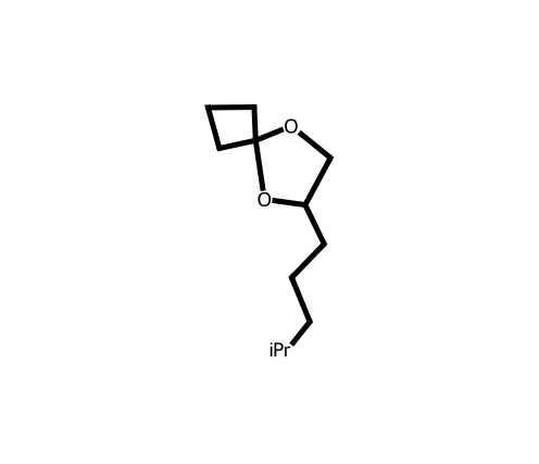 CC(C)CCCC1COC2(CCC2)O1